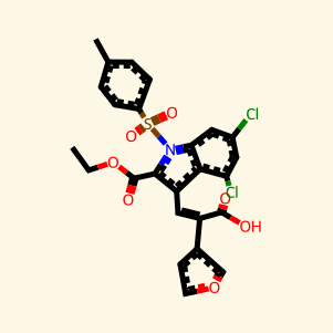 CCOC(=O)c1c(/C=C(\C(=O)O)c2ccoc2)c2c(Cl)cc(Cl)cc2n1S(=O)(=O)c1ccc(C)cc1